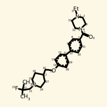 CCN1CCN(C(=O)c2ccc(-c3ccc(OCC4CCN(CC(C)(C)F)CC4)cc3)cc2)CC1